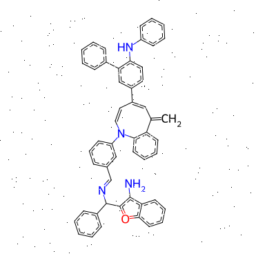 C=C1/C=C(c2ccc(Nc3ccccc3)c(-c3ccccc3)c2)\C=C/N(c2cccc(/C=N/C(c3ccccc3)c3oc4ccccc4c3N)c2)c2ccccc21